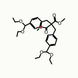 CCOC(OCC)c1ccc(CC(Cc2ccc(C(OCC)OCC)cc2)(C(=O)OC)C(=O)OC)cc1